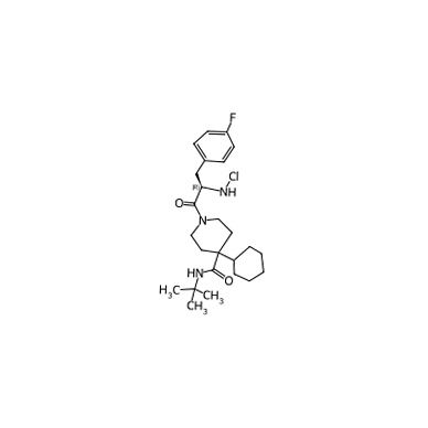 CC(C)(C)NC(=O)C1(C2CCCCC2)CCN(C(=O)[C@@H](Cc2ccc(F)cc2)NCl)CC1